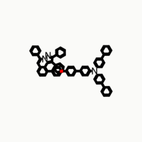 c1ccc(-c2ccc(N(c3ccc(-c4ccccc4)cc3)c3ccc(-c4ccc(-c5ccc(-c6cccc7cc(-c8ccccc8)n8nc(-c9ccccc9)c(-c9ccccc9)c8c67)cc5)cc4)cc3)cc2)cc1